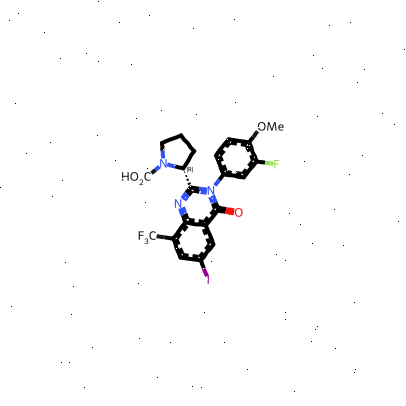 COc1ccc(-n2c([C@H]3CCCN3C(=O)O)nc3c(C(F)(F)F)cc(I)cc3c2=O)cc1F